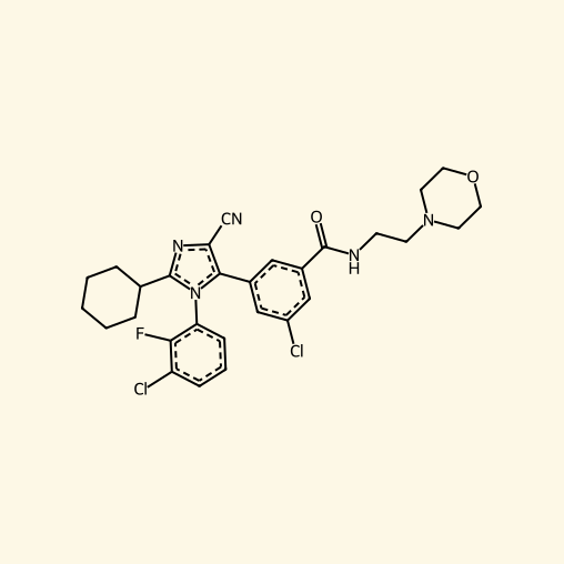 N#Cc1nc(C2CCCCC2)n(-c2cccc(Cl)c2F)c1-c1cc(Cl)cc(C(=O)NCCN2CCOCC2)c1